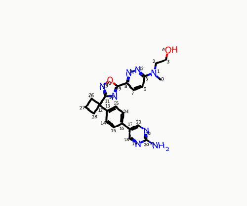 CN(CCO)c1ccc(-c2nc(C3(c4ccc(-c5cnc(N)nc5)cc4)CCC3)no2)nn1